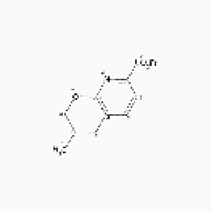 CCOC(=O)c1ccc2c(n1)OCC(C)C2